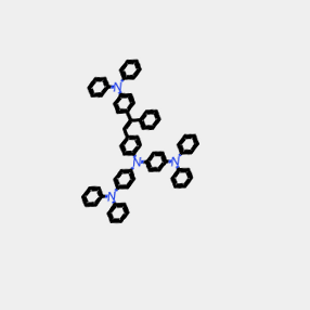 C(=C(c1ccccc1)c1ccc(N(c2ccccc2)c2ccccc2)cc1)c1ccc(N(c2ccc(N(c3ccccc3)c3ccccc3)cc2)c2ccc(N(c3ccccc3)c3ccccc3)cc2)cc1